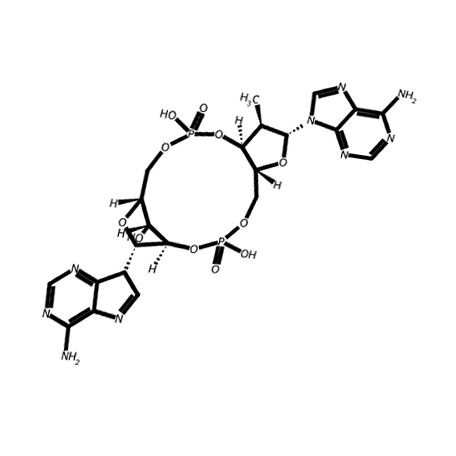 C[C@@H]1[C@@H]2OP(=O)(O)OC[C@H]3O[C@@H](C4C=Nc5c(N)ncnc54)[C@H](OP(=O)(O)OC[C@H]2O[C@H]1n1cnc2c(N)ncnc21)[C@@H]3O